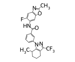 Cc1nc2cc(F)c(NC(=O)c3cccc(-n4nc(C(F)(F)F)c5c4C(C)CCC5)c3)cc2o1